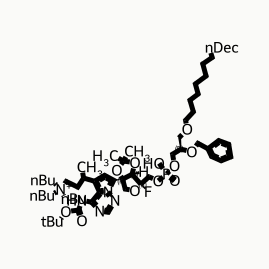 CCCCCCCCCCCCCCCCCCOC[C@H](COP(=O)(O)OC[C@@]1(F)OC[C@@]2(c3cc(C(C)CC[N+](CCCC)(CCCC)CCCC)c4c(NC(=O)OC(C)(C)C)ncnn34)OC(C)(C)O[C@H]12)OCc1ccccc1